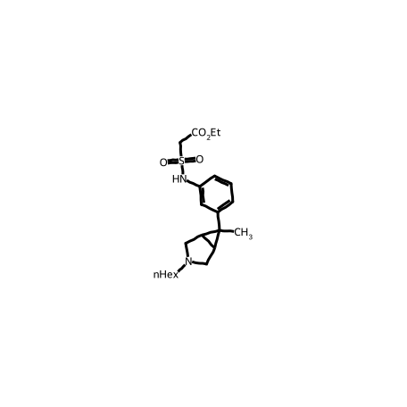 CCCCCCN1CC2C(C1)C2(C)c1cccc(NS(=O)(=O)CC(=O)OCC)c1